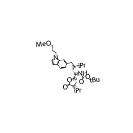 COCCCn1ccc2ccc(C[C@H](C[C@H](NC(=O)OC(C)(C)C)[C@@H]3C[C@@H](C(C)C)C(=O)O3)C(C)C)cc21